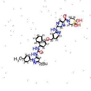 Cc1ccc(-n2nc(C(C)(C)C)cc2NC(=O)Nc2ccc(OCc3ccnc(Nc4cnc(C(=O)N5CCS(O)(O)CC5)cn4)c3)c3ccccc23)cc1